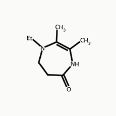 CCN1CCC(=O)NC(C)=C1C